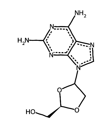 Nc1nc(N)c2ncn(C3CO[C@@H](CO)O3)c2n1